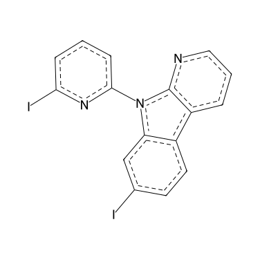 Ic1ccc2c3cccnc3n(-c3cccc(I)n3)c2c1